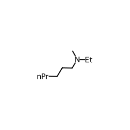 [CH2]CN(C)CCCCCC